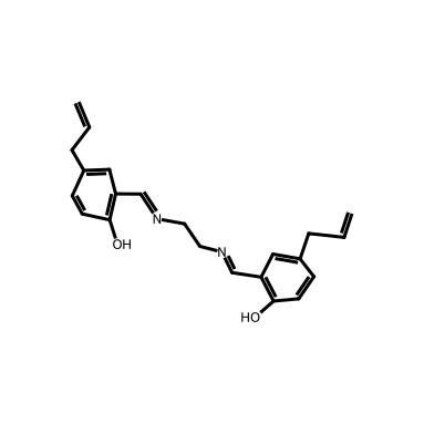 C=CCc1ccc(O)c(C=NCCN=Cc2cc(CC=C)ccc2O)c1